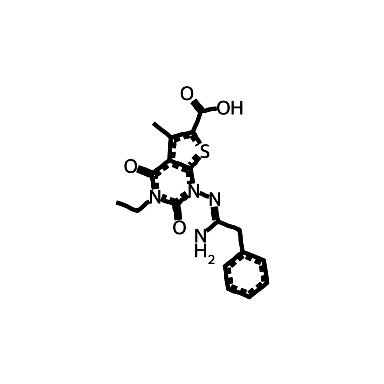 CCn1c(=O)c2c(C)c(C(=O)O)sc2n(N=C(N)Cc2ccccc2)c1=O